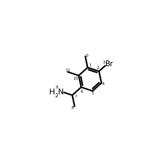 Cc1c(Br)ccc(C(C)N)c1C